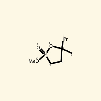 COP1(=O)CCC(C)(C(C)C)O1